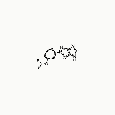 FC(F)Oc1cccc(-n2nc3n[c][nH]c3n2)c1